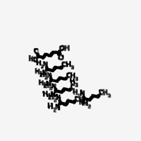 CCCCC(N)N.CCCCC(N)N.CCCCC(N)N.CCCCC(N)N.CCCCC(N)N.O=C(O)CCCCC(=O)O